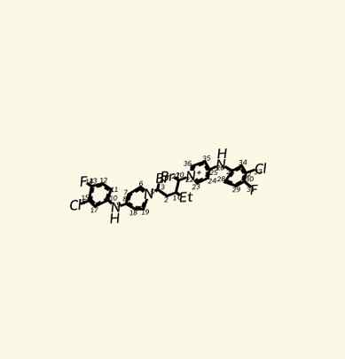 CCC(CC(Br)[n+]1ccc(Nc2ccc(F)c(Cl)c2)cc1)C(Br)[n+]1ccc(Nc2ccc(F)c(Cl)c2)cc1